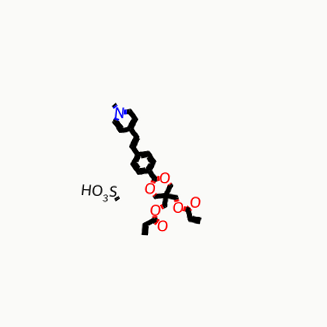 C=CC(=O)OCC1(COC(=O)C=C)COC(c2ccc(C=CC3=CCN(C)C=C3)cc2)OC1.CS(=O)(=O)O